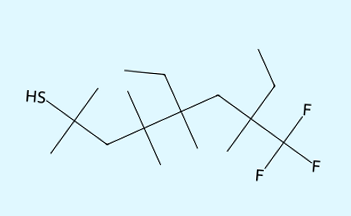 CCC(C)(CC(C)(CC)C(C)(C)CC(C)(C)S)C(F)(F)F